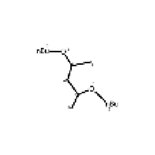 CCCCOC(C)CC(C)OCCCC